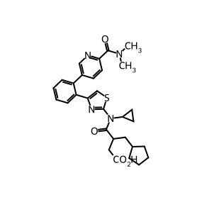 CN(C)C(=O)c1ccc(-c2ccccc2-c2csc(N(C(=O)C(CC(=O)O)CC3CCCC3)C3CC3)n2)cn1